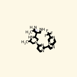 C/C(N)=C(/C=N)C1CN(c2ccnc(-c3cnc4cnc(C(F)(F)F)cn34)n2)CC(C)N1